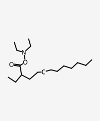 CCCCCCCCCCC(CC)C(=O)ON(CC)CC